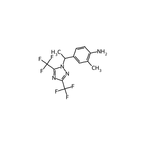 Cc1cc(C(C)n2nc(C(F)(F)F)nc2C(F)(F)F)ccc1N